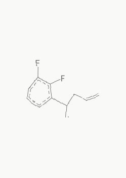 [CH2]C(CC=C)c1cccc(F)c1F